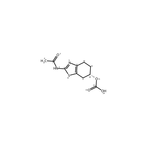 CC(=O)Nc1nc2c(s1)C[C@@H](OC(=O)O)CC2